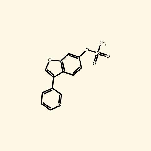 O=S(=O)(Oc1ccc2c(-c3cccnc3)coc2c1)C(F)(F)F